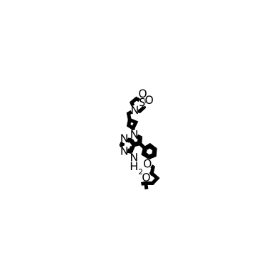 CC1(C)CCC(COc2cccc(-c3cn(C4CC(CN5CCS(=O)(=O)CC5)C4)c4ncnc(N)c34)c2)O1